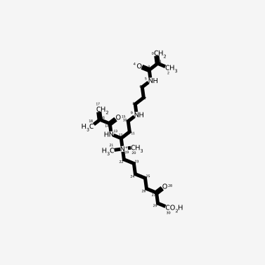 C=C(C)C(=O)NCCCNCCC(NC(=O)C(=C)C)[N+](C)(C)CCCCCC(=O)CC(=O)O